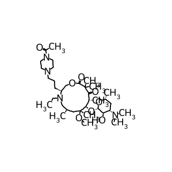 CCN1C[C@H](C)C[C@@](C)(OC)[C@H](O[C@@H]2O[C@H](C)C[C@H](N(C)C)[C@H]2O)[C@@H](C)C(=O)C(C)(C)C(=O)OC[C@@H]1CCCN1CCN(C(C)=O)CC1